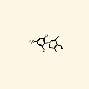 C=CC1=C(C)CN(c2c(Cl)cc(C(F)(F)F)cc2Cl)C=C1C